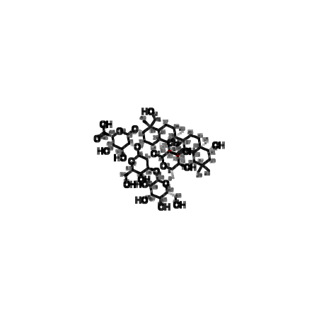 C[C@@H]1OC(O[C@H]2C(O[C@H]3C(O[C@H]4CC[C@@]5(C)C(CC[C@]6(C)C5CC=C5C7CC(C)(C)C[C@@H](O)[C@]7(C)CC[C@]56C)[C@@]4(C)CO)O[C@H](C(=O)O)[C@@H](O)[C@@H]3O)O[C@H](CO)[C@H](O)[C@@H]2OC2O[C@H](CO)[C@@H](O)[C@H](O)[C@H]2O)[C@H](O)[C@H](O)[C@H]1O